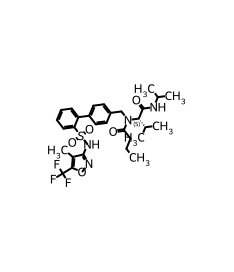 CCCC(=O)N(Cc1ccc(-c2ccccc2S(=O)(=O)Nc2noc(C(F)(F)F)c2C)cc1)[C@H](C(=O)NC(C)C)C(C)C